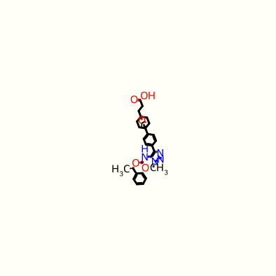 C[C@@H](OC(=O)Nc1c(-c2ccc(C34CCC(CCC(=O)O)(CC3)OC4)cc2)nnn1C)c1ccccc1